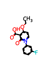 CCOc1ccn(-c2cccc(F)c2)c(=O)c1C(=O)O